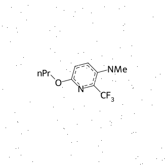 CCCOc1ccc(NC)c(C(F)(F)F)n1